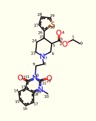 CCOC(=O)C1CN(CCn2c(=O)c3ccccc3n(C)c2=O)CCC1c1cccs1